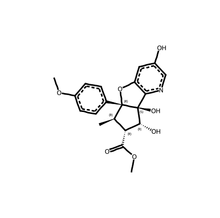 COC(=O)[C@H]1[C@@H](O)[C@@]2(O)c3ncc(O)cc3O[C@@]2(c2ccc(OC)cc2)[C@@H]1C